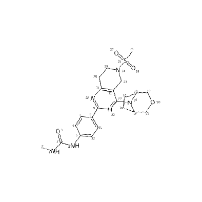 CNC(=O)Nc1ccc(-c2nc3c(c(N4C5CCC4COC5)n2)CN(S(C)(=O)=O)CC3)cc1